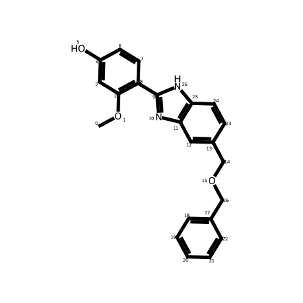 COc1cc(O)ccc1-c1nc2cc(COCc3ccccc3)ccc2[nH]1